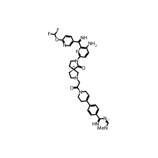 CN/C=N\C(=N)c1ccc(C2=CCN(C(=O)CN3CC[C@]4(CCN(c5ccc(N)c(C(=N)c6ccc(OC(F)F)nc6)n5)C4=O)C3)CC2)cc1